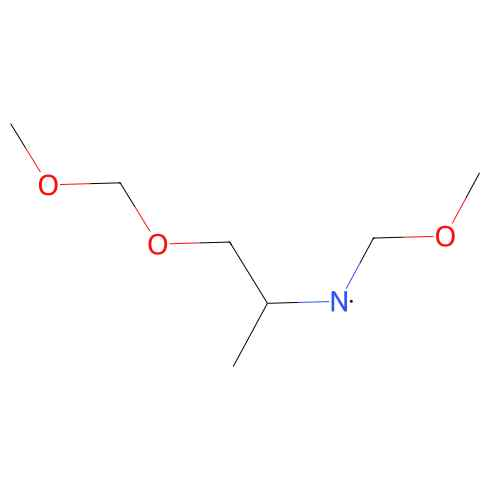 COC[N]C(C)COCOC